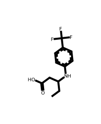 CCC(CC(=O)O)Nc1ccc(C(F)(F)F)cc1